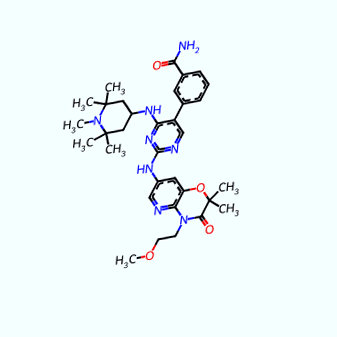 COCCN1C(=O)C(C)(C)Oc2cc(Nc3ncc(-c4cccc(C(N)=O)c4)c(NC4CC(C)(C)N(C)C(C)(C)C4)n3)cnc21